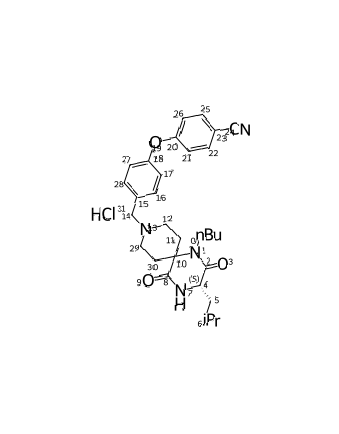 CCCCN1C(=O)[C@H](CC(C)C)NC(=O)C12CCN(Cc1ccc(Oc3ccc(C#N)cc3)cc1)CC2.Cl